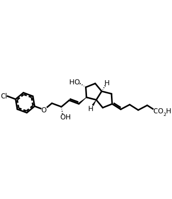 O=C(O)CCC/C=C1\C[C@@H]2C[C@@H](O)[C@H](/C=C/[C@H](O)COc3ccc(Cl)cc3)[C@H]2C1